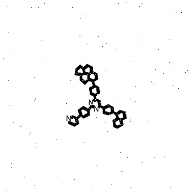 c1cncc(-c2ccc(-c3nc(-c4ccc(-c5cccc6ccccc56)cc4)cc(-c4ccc(-c5ccc6ccc7cccc8ccc5c6c78)cc4)n3)cc2)c1